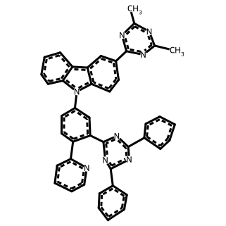 Cc1nc(C)nc(-c2ccc3c(c2)c2ccccc2n3-c2ccc(-c3ccccn3)c(-c3nc(-c4ccccc4)nc(-c4ccccc4)n3)c2)n1